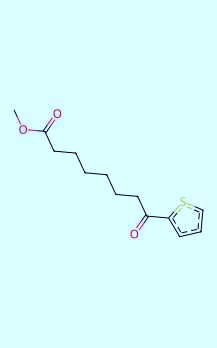 COC(=O)CCCCCCC(=O)c1cccs1